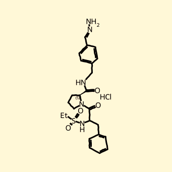 CCS(=O)(=O)NC(Cc1ccccc1)C(=O)N1CCC[C@H]1C(=O)NCc1ccc(C=NN)cc1.Cl